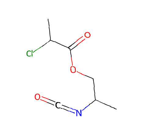 CC(COC(=O)C(C)Cl)N=C=O